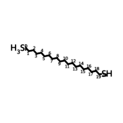 [SiH3]CCCCCCCCCCCCCCCCCCCS